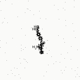 Nc1nc2c(sc(=O)n2CCN2CCN(c3ccc(OCC(O)CO)cc3)CC2)c2cc(-c3ccco3)nn12